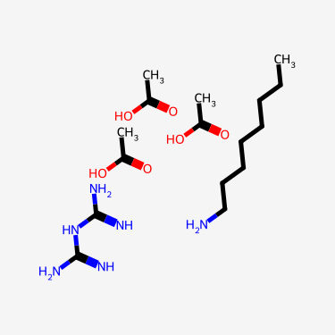 CC(=O)O.CC(=O)O.CC(=O)O.CCCCCCCCN.N=C(N)NC(=N)N